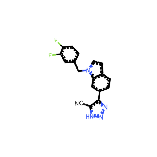 N#Cc1[nH]nnc1-c1ccc2ccn(Cc3ccc(F)c(F)c3)c2c1